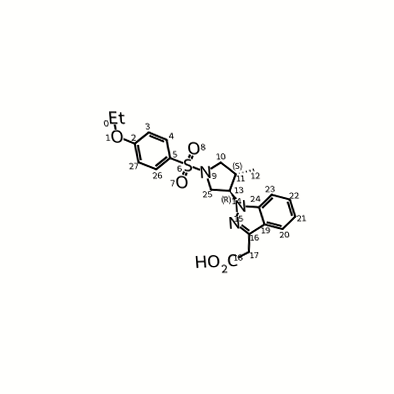 CCOc1ccc(S(=O)(=O)N2C[C@H](C)[C@@H](n3nc(CC(=O)O)c4ccccc43)C2)cc1